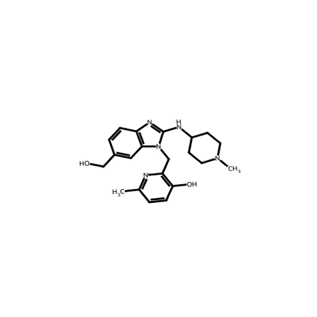 Cc1ccc(O)c(Cn2c(NC3CCN(C)CC3)nc3ccc(CO)cc32)n1